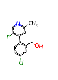 Cc1cc(-c2ccc(Cl)cc2CO)c(F)cn1